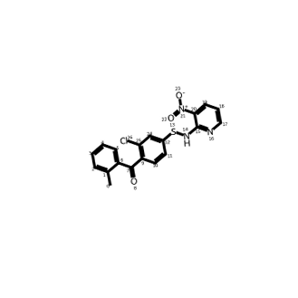 Cc1ccccc1C(=O)c1ccc(SNc2ncccc2[N+](=O)[O-])cc1Cl